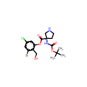 CC(C)(C)OC(=O)N[C@]1(C(=O)Oc2cc(Cl)cc(Br)c2CO)CCNC1